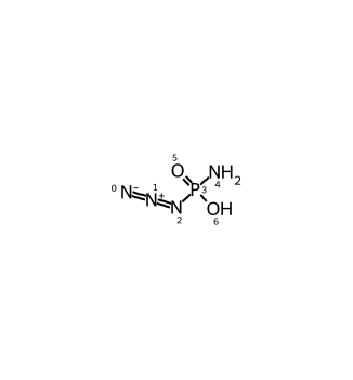 [N-]=[N+]=NP(N)(=O)O